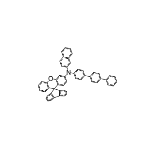 c1ccc(-c2ccc(-c3ccc(N(c4ccc5c(c4)Oc4ccccc4C54c5ccccc5-c5ccccc54)c4ccc5ccccc5c4)cc3)cc2)cc1